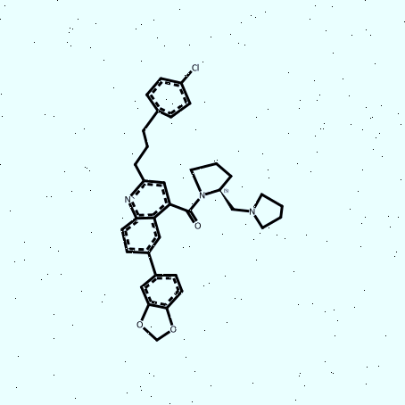 O=C(c1cc(CCCc2ccc(Cl)cc2)nc2ccc(-c3ccc4c(c3)OCO4)cc12)N1CCC[C@H]1CN1CCCC1